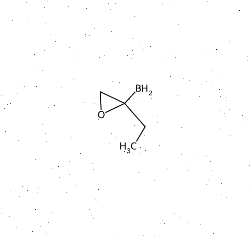 BC1(CC)CO1